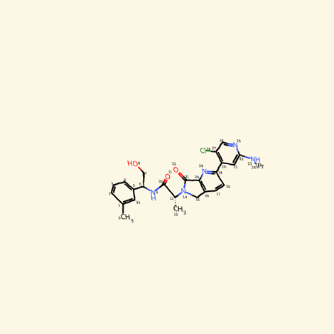 Cc1cccc([C@@H](CO)NC(=O)[C@@H](C)N2Cc3ccc(-c4cc(NC(C)C)ncc4Cl)nc3C2=O)c1